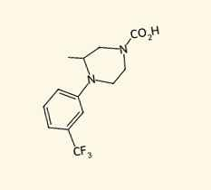 CC1CN(C(=O)O)CCN1c1cccc(C(F)(F)F)c1